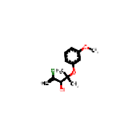 [CH]=C(Cl)C(O)C(C)(C)Oc1cccc(OC(F)(F)F)c1